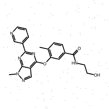 Cc1ccc(C(=O)NCCO)cc1Oc1nc(-c2cccnc2)nc2c1cnn2C